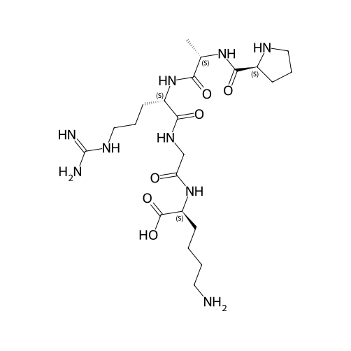 C[C@H](NC(=O)[C@@H]1CCCN1)C(=O)N[C@@H](CCCNC(=N)N)C(=O)NCC(=O)N[C@@H](CCCCN)C(=O)O